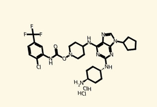 Cl.Cl.N[C@H]1CC[C@H](Nc2nc(NC3CCN(OC(=O)Nc4cc(C(F)(F)F)ccc4Cl)CC3)c3ncn(C4CCCC4)c3n2)CC1